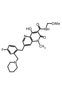 COCNC(=O)c1c(O)c2ncc(Cc3ccc(F)cc3CN3CCCCC3)cc2n(C)c1=O